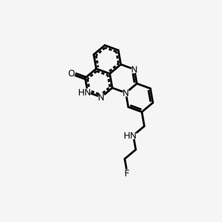 O=c1[nH]nc2c3c(cccc13)N=C1C=CC(CNCCF)=CN12